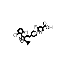 O=C(O)c1cnc(N2CCC(C=Cc3c(-c4c(Cl)cccc4Cl)noc3C3CC3)CC2)c(F)c1